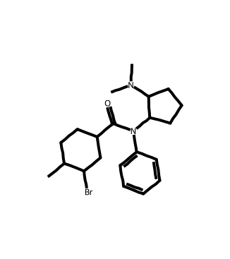 CC1CCC(C(=O)N(c2ccccc2)C2CCCC2N(C)C)CC1Br